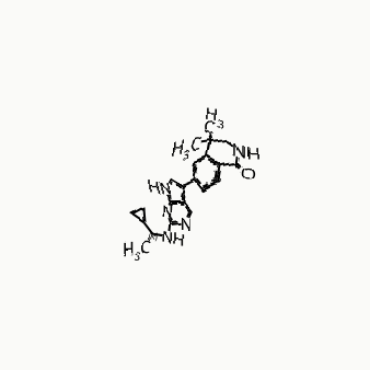 C[C@@H](Nc1ncc2c(-c3ccc4c(c3)C(C)(C)CNC4=O)c[nH]c2n1)C1CC1